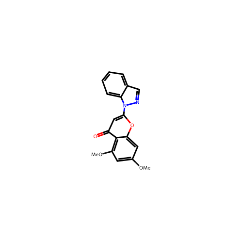 COc1cc(OC)c2c(=O)cc(-n3ncc4ccccc43)oc2c1